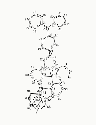 C1=CCCC(C2(c3ccc(-c4ccc(N(c5ccccc5)c5ccccc5)cc4)cc3)c3ccccc3C3(c4ccccc4)c4ccccc4-c4cccc2c43)=C1